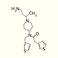 CC(CCN)N1CCC(N(Cc2ccsc2)C(=O)Cc2ccsc2)CC1